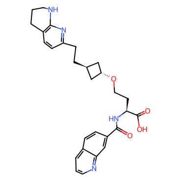 O=C(N[C@@H](CCO[C@H]1C[C@H](CCc2ccc3c(n2)NCCC3)C1)C(=O)O)c1ccc2cccnc2c1